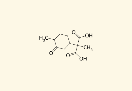 CC1CCC(C(C)(C(=O)O)C(=O)O)CC1=O